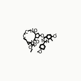 CCOC(=O)C12CC1/C=C/CCCCN(C)C(=O)C1CC(Oc3nc(-c4ccc(OC)cc4)nc4c(C)c(OC)ccc34)CC1C(=O)N2